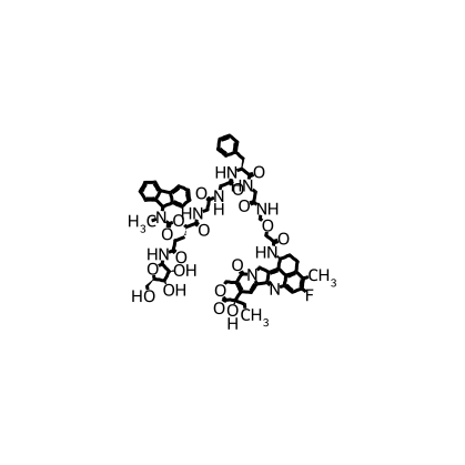 CC[C@@]1(O)C(=O)OCc2c1cc1n(c2=O)Cc2c-1nc1cc(F)c(C)c3c1c2[C@@H](NC(=O)COCNC(=O)CNC(=O)[C@H](Cc1ccccc1)NC(=O)CNC(=O)CNC(=O)[C@H](CCC(=O)NC1O[C@H](CO)[C@@H](O)[C@H]1O)OC(=O)N(C)C1c2ccccc2-c2ccccc21)CC3